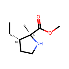 CC[C@H]1CCN[C@]1(C)C(=O)OC